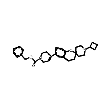 O=C(OCc1ccccc1)N1CC=C(c2ccc3c(c2)CCC2(CCN(C4CCC4)CC2)O3)CC1